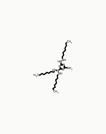 CCCCCCCCNNc1nc(N)nc(N(NCCCCCCCC)NCCCCCCCC)n1